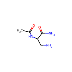 CC(=O)NC(CN)C(N)=O